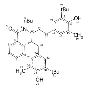 CCCCN(C(=O)c1ccccc1)C(CCc1cc(C)c(O)c(C(C)(C)C)c1)CCc1cc(C)c(O)c(C(C)(C)C)c1